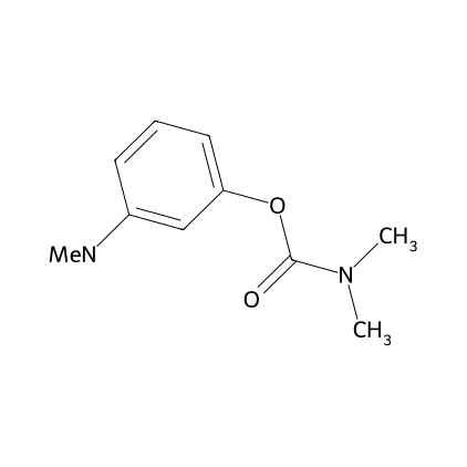 CNc1cccc(OC(=O)N(C)C)c1